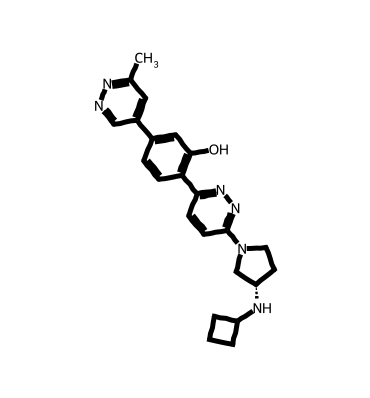 Cc1cc(-c2ccc(-c3ccc(N4CC[C@H](NC5CCC5)C4)nn3)c(O)c2)cnn1